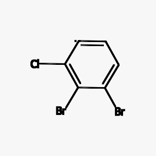 Clc1[c]ccc(Br)c1Br